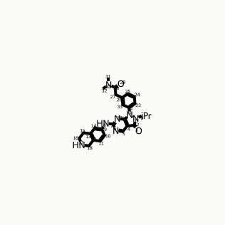 CC(C)n1c(=O)c2cnc(Nc3ccc4c(c3)CCNC4)nc2n1-c1cccc(CC(=O)N(C)C)c1